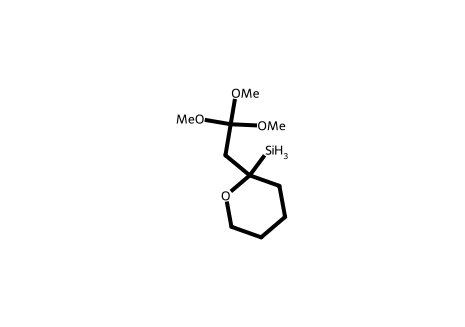 COC(CC1([SiH3])CCCCO1)(OC)OC